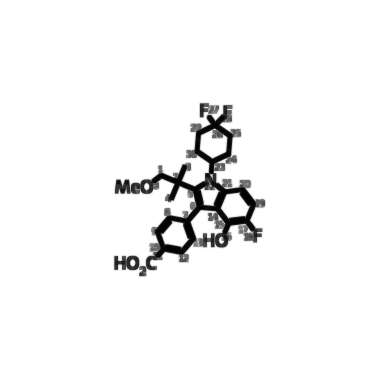 COCC(C)(C)c1c(-c2ccc(C(=O)O)cc2)c2c(O)c(F)ccc2n1C1CCC(F)(F)CC1